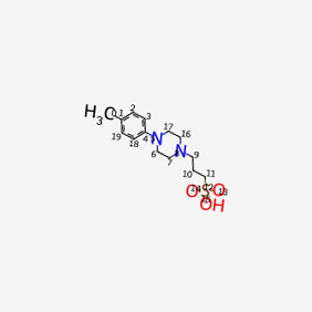 Cc1ccc(N2CCN(CCCS(=O)(=O)O)CC2)cc1